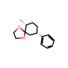 C[C@@H]1CC[C@H](c2ccccc2)CC12OCCO2